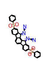 N#C/N=c1\c2cc(S(=O)(=O)c3ccccc3)ccc2c2ccc3c4ccc(S(=O)(=O)c5ccccc5)cc4/c(=N\C#N)c3c12